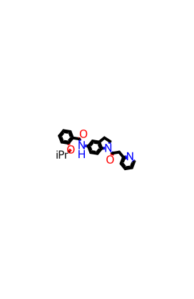 CC(C)Oc1ccccc1C(=O)Nc1ccc2c(c1)CCN2C(=O)Cc1ccccn1